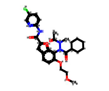 COCCOc1ccc2cc(C(=O)Nc3ccc(Cl)cn3)oc2c1N(C(=O)C1CCCCC1)N(C)C(C)=O